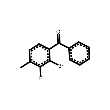 Cc1ccc(C(=O)c2ccccc2)c(Br)c1F